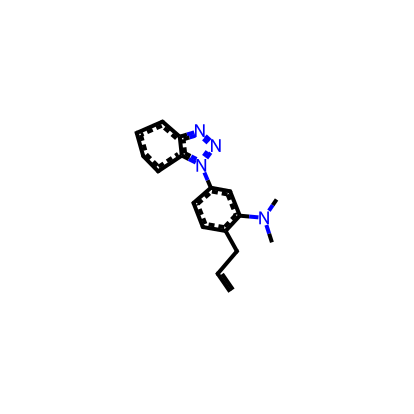 C=CCc1ccc(-n2nnc3ccccc32)cc1N(C)C